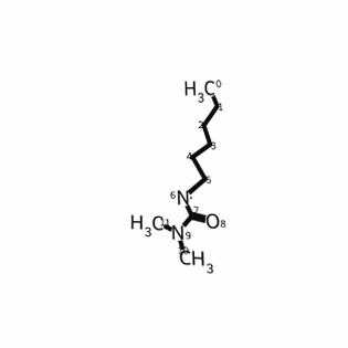 CCCCCC[N]C(=O)N(C)C